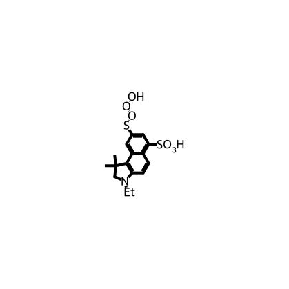 CCN1CC(C)(C)c2c1ccc1c(S(=O)(=O)O)cc(SOOO)cc21